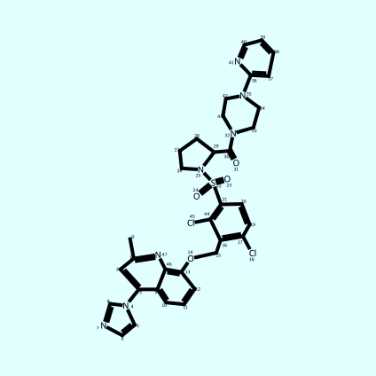 Cc1cc(-n2ccnc2)c2cccc(OCc3c(Cl)ccc(S(=O)(=O)N4CCCC4C(=O)N4CCN(c5ccccn5)CC4)c3Cl)c2n1